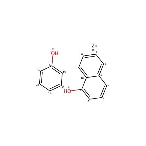 Oc1cccc2ccccc12.Oc1ccccc1.[Zn]